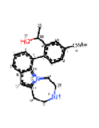 COc1ccc(-c2cccc3cc4n(c23)CCNCC4)c(C(C)O)c1